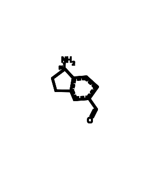 N[C@H]1CCc2cc(C=O)ccc21